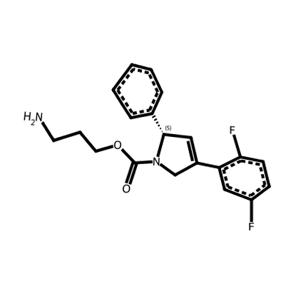 NCCCOC(=O)N1CC(c2cc(F)ccc2F)=C[C@H]1c1ccccc1